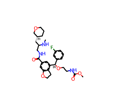 CNC(CNC(=O)c1cc2c(c([C@H](OCCNC(=O)OC)c3cccc(F)c3)c1)CCO2)C[C@H]1CCCOC1